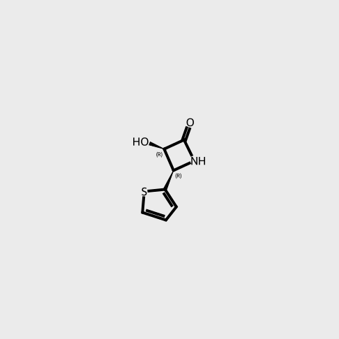 O=C1N[C@@H](c2cccs2)[C@H]1O